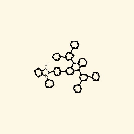 C1=c2c(-c3cc(-c4ccccc4)cc(-c4ccccc4)c3)c3ccc(-c4ccc(C5Nc6ccccc6N5c5ccccc5)cc4)cc3c(-c3cc(-c4ccccc4)cc(-c4ccccc4)c3)c2=CCC1